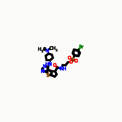 CN(C)[C@H]1CC[C@H](Nc2ncnc3sc4c(c23)C(C(=O)NCCCOS(=O)(=O)c2ccc(Br)cc2)CC4)CC1